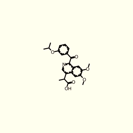 COc1cc2c(C(C)C(=O)O)cnc(C(=O)c3cccc(OC(C)C)c3)c2cc1OC